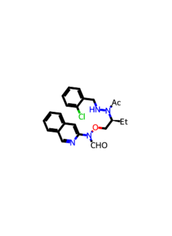 CC[C@@H](CON(C=O)c1cc2ccccc2cn1)N(NCc1ccccc1Cl)C(C)=O